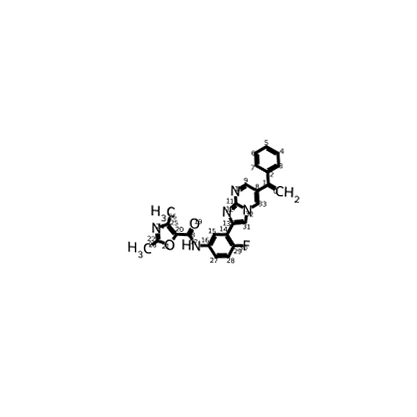 C=C(c1ccccc1)c1cnc2nc(-c3cc(NC(=O)c4oc(C)nc4C)ccc3F)cn2c1